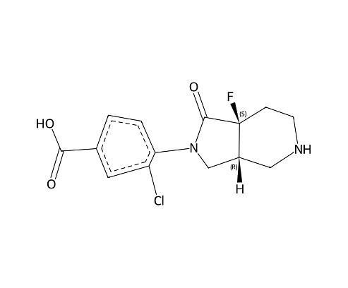 O=C(O)c1ccc(N2C[C@H]3CNCC[C@@]3(F)C2=O)c(Cl)c1